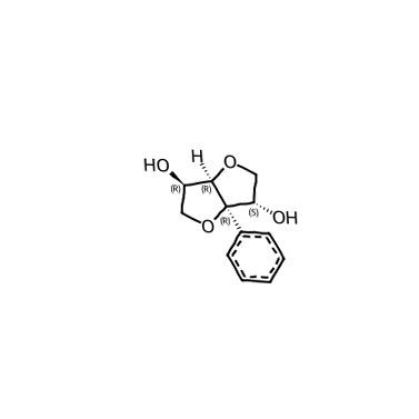 O[C@@H]1CO[C@@]2(c3ccccc3)[C@@H]1OC[C@@H]2O